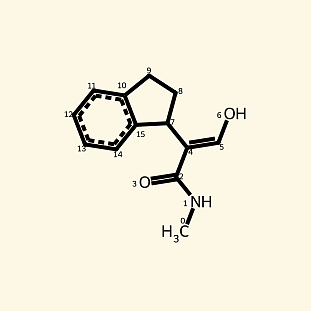 CNC(=O)/C(=C/O)C1CCc2ccccc21